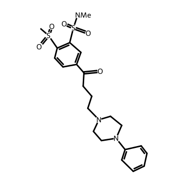 CNS(=O)(=O)c1cc(C(=O)CCCN2CCN(c3ccccc3)CC2)ccc1S(C)(=O)=O